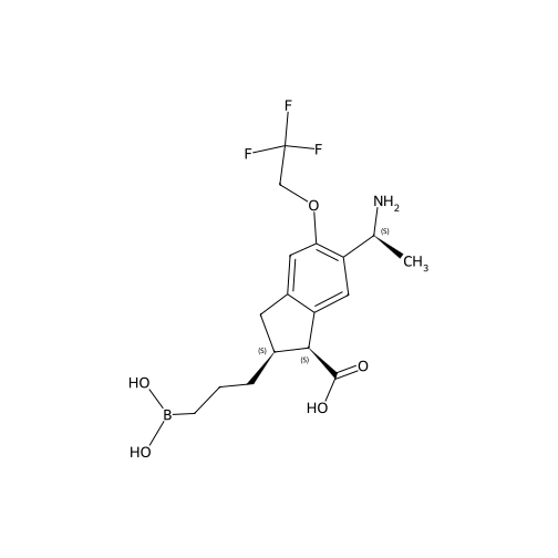 C[C@H](N)c1cc2c(cc1OCC(F)(F)F)C[C@H](CCCB(O)O)[C@@H]2C(=O)O